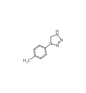 Cc1ccc(N2CNN=N2)cc1